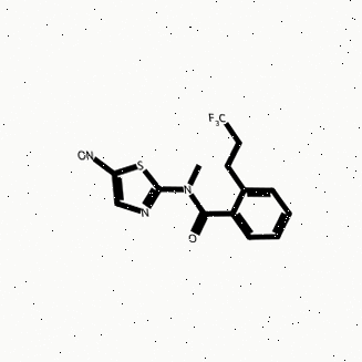 CN(C(=O)c1ccccc1CCC(F)(F)F)c1ncc(N=O)s1